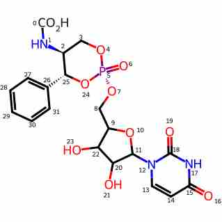 O=C(O)N[C@H]1CO[P@](=O)(OCC2OC(n3ccc(=O)[nH]c3=O)C(O)C2O)O[C@@H]1c1ccccc1